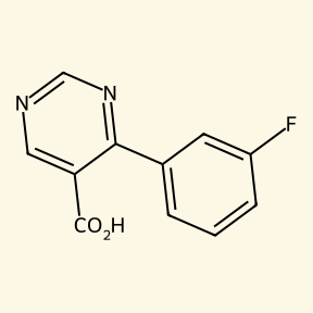 O=C(O)c1cncnc1-c1cccc(F)c1